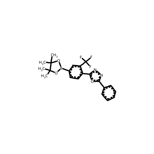 CC1(C)OB(c2ccc(-c3nnc(-c4ccccc4)o3)c(C(F)(F)F)c2)OC1(C)C